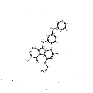 CCc1c(C(=O)C(N)=O)c2c(OCC(=O)O)cc(C)nn2c1Cc1cccc(Oc2ccccc2)c1